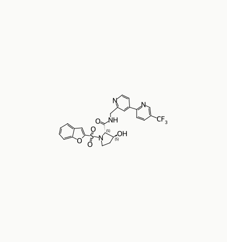 O=C(NCc1cc(-c2ccc(C(F)(F)F)cn2)ccn1)[C@@H]1[C@@H](O)CCN1S(=O)(=O)c1cc2ccccc2o1